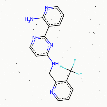 Nc1ncccc1-c1nccc(NCc2ncccc2C(F)(F)F)n1